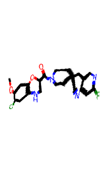 COc1cc2c(cc1Cl)NCC(C(=O)N1CCC(C#N)(Cc3ccc(F)nc3)CC1)O2